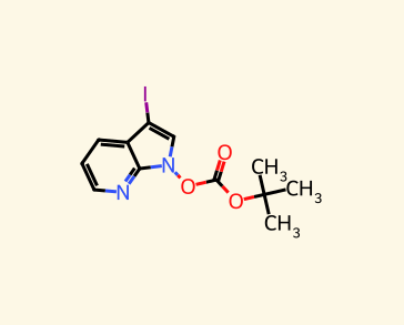 CC(C)(C)OC(=O)On1cc(I)c2cccnc21